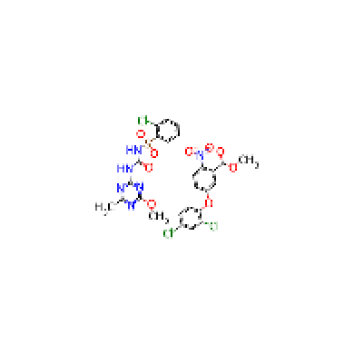 COC(=O)c1cc(Oc2ccc(Cl)cc2Cl)ccc1[N+](=O)[O-].COc1nc(C)nc(NC(=O)NS(=O)(=O)c2ccccc2Cl)n1